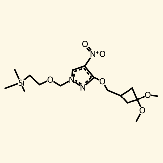 COC1(OC)CC(COc2nn(COCC[Si](C)(C)C)cc2[N+](=O)[O-])C1